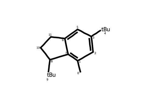 Cc1cc(C(C)(C)C)cc2c1C(C(C)(C)C)CC2